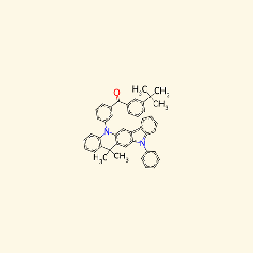 CC(C)(C)c1cccc(C(=O)c2cccc(N3c4ccccc4C(C)(C)c4cc5c(cc43)c3ccccc3n5-c3ccccc3)c2)c1